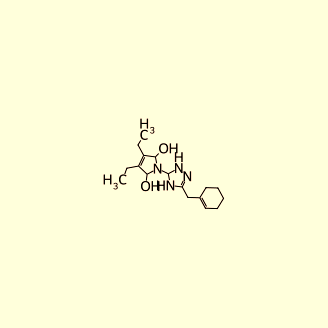 CCC1=C(CC)C(O)N(C2NN=C(CC3=CCCCC3)N2)C1O